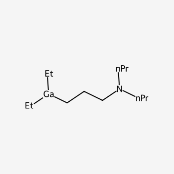 CCCN(CCC)CC[CH2][Ga]([CH2]C)[CH2]C